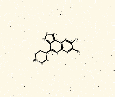 Fc1cc2nc(N3CCNCC3)c3nocc3c2cc1Br